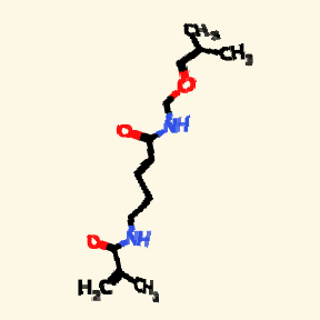 C=C(C)C(=O)NCCCCC(=O)NCOCC(C)C